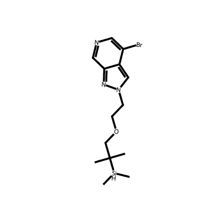 C[SiH](C)C(C)(C)COCCn1cc2c(Br)cncc2n1